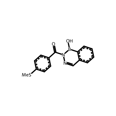 CSc1ccc(C(=O)N2N=Cc3ccccc3B2O)cc1